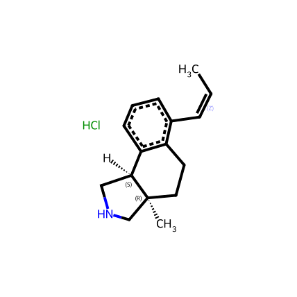 C/C=C\c1cccc2c1CC[C@@]1(C)CNC[C@@H]21.Cl